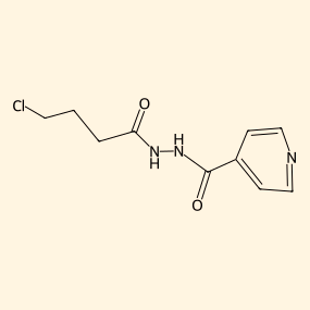 O=C(CCCCl)NNC(=O)c1ccncc1